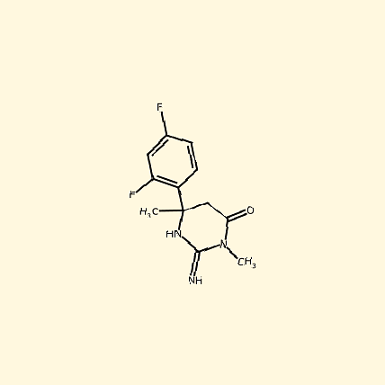 CN1C(=N)NC(C)(c2ccc(F)cc2F)CC1=O